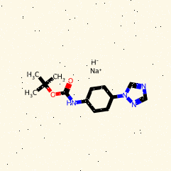 CC(C)(C)OC(=O)NC1CCC(n2cncn2)CC1.[H-].[Na+]